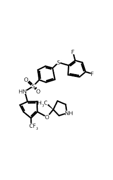 C[C@@]1(Oc2cc(NS(=O)(=O)c3ccc(Sc4ccc(F)cc4F)cc3)ccc2C(F)(F)F)CCNC1